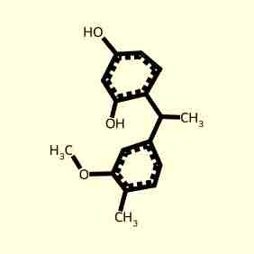 COc1cc(C(C)c2ccc(O)cc2O)ccc1C